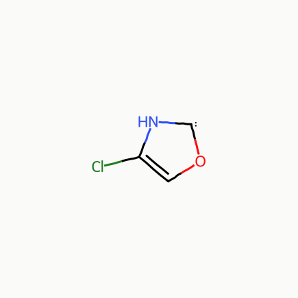 ClC1=CO[C]N1